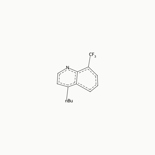 [CH2]CCCc1ccnc2c(C(F)(F)F)cccc12